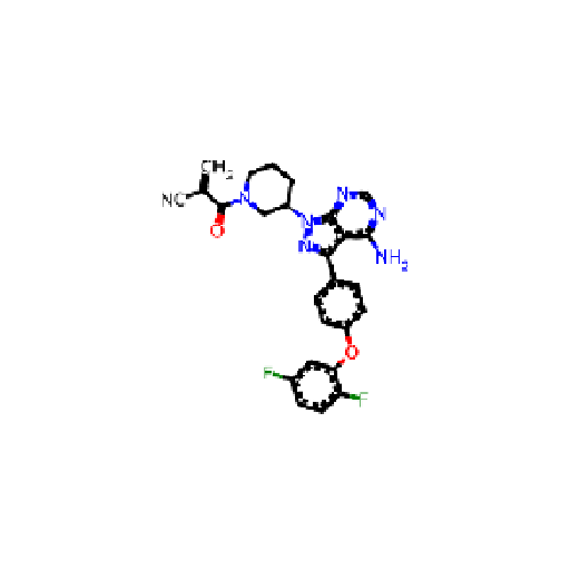 C=C(C#N)C(=O)N1CCC[C@@H](n2nc(-c3ccc(Oc4cc(F)ccc4F)cc3)c3c(N)ncnc32)C1